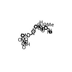 COc1cc(Cn2cccn2)cc2onc(NS(=O)(=O)c3cccc(N4CCN(CC5CCN(c6cccc7c6C(=O)N(C6CCC(=O)NC6=O)C7=O)CC5)CC4)c3)c12